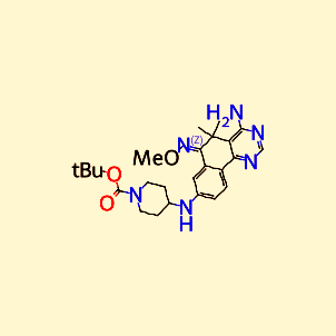 CO/N=C1\c2cc(NC3CCN(C(=O)OC(C)(C)C)CC3)ccc2-c2ncnc(N)c2C1(C)C